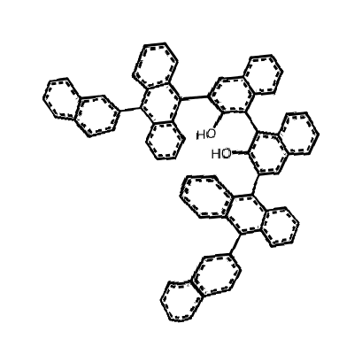 Oc1c(-c2c3ccccc3c(-c3ccc4ccccc4c3)c3ccccc23)cc2ccccc2c1-c1c(O)c(-c2c3ccccc3c(-c3ccc4ccccc4c3)c3ccccc23)cc2ccccc12